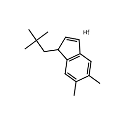 Cc1cc2c(cc1C)[C](CC(C)(C)C)C=C2.[Hf]